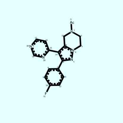 CC(=O)N1CCn2nc(-c3ccc(F)cc3)c(-c3ccncn3)c2C1